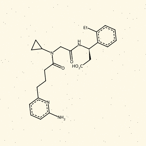 CCc1ccccc1[C@@H](CC(=O)O)NC(=O)CN(C(=O)CCCc1cccc(N)n1)C1CC1